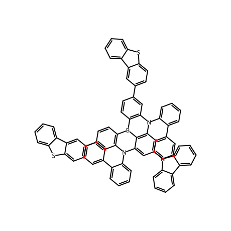 c1ccc(-c2ccccc2N2c3cc(-c4ccc5sc6ccccc6c5c4)ccc3B3c4ccc(-c5ccc6sc7ccccc7c6c5)cc4N(c4ccccc4-c4ccccc4)c4cc(-n5c6ccccc6c6ccccc65)cc2c43)cc1